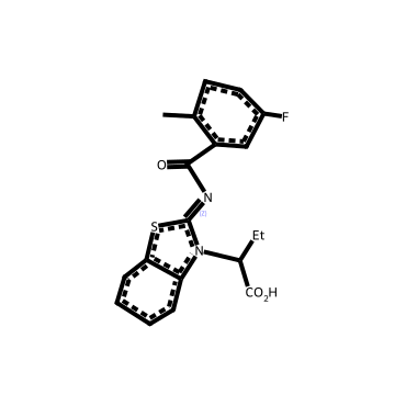 CCC(C(=O)O)n1/c(=N/C(=O)c2cc(F)ccc2C)sc2ccccc21